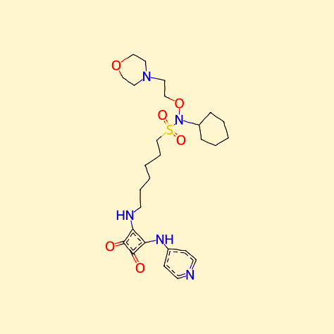 O=c1c(NCCCCCCS(=O)(=O)N(OCCN2CCOCC2)C2CCCCC2)c(Nc2ccncc2)c1=O